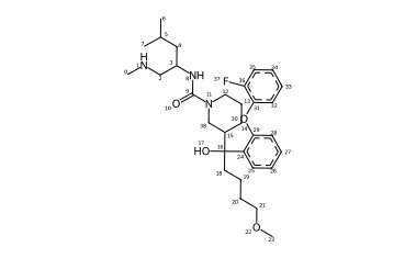 CNCC(CC(C)C)NC(=O)N1CCCC(C(O)(CCCCOC)c2ccccc2Oc2ccccc2F)C1